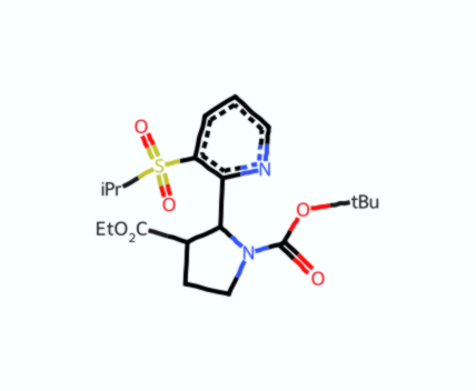 CCOC(=O)C1CCN(C(=O)OC(C)(C)C)C1c1ncccc1S(=O)(=O)C(C)C